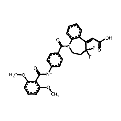 COc1cccc(OC)c1C(=O)Nc1ccc(C(=O)N2CCC(F)(F)C(=CC(=O)O)c3ccccc32)cc1